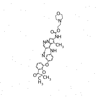 Cc1c(NC(=O)OCCN2CCOCC2)cn2ncc(C#N)c(Nc3ccc(Oc4cccc5c4OC(C)(C)C5=O)cc3)c12